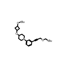 CC(C)(C)COCC#Cc1cccc(N2CCC(OC3CC(OC(C)(C)C)C3)CC2)c1